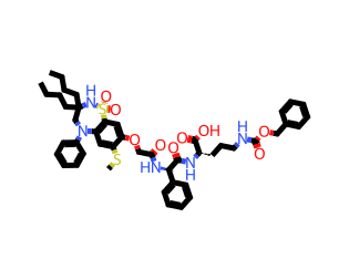 CCCCC1(CCCC)CN(c2ccccc2)c2cc(SC)c(OCC(=O)N[C@@H](C(=O)N[C@@H](CCCNC(=O)OCc3ccccc3)C(=O)O)c3ccccc3)cc2S(=O)(=O)N1